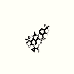 Cc1nc(N[C@H](C)c2cccc(C(C)(F)F)c2F)c2cn(C3(C(F)F)CC3)c(=O)c(S(C)(=O)=O)c2n1